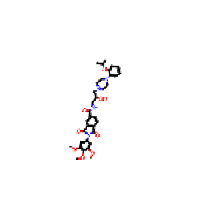 COc1cc(N2C(=O)c3ccc(C(=O)NCC(O)CN4CCN(c5ccccc5OC(C)C)CC4)cc3C2=O)cc(OC)c1OC